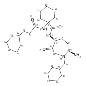 C[C@@H]1CC[C@H](NC(=O)C2(NC(=O)CCC3CCCCC3)CCCCC2)C(=O)CN1CC1CCCCC1